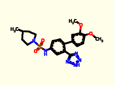 COc1ccc(-c2ccc(NS(=O)(=O)N3CCC(C)CC3)cc2-c2nn[nH]n2)cc1OC